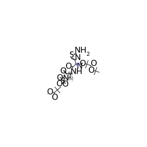 COC(=O)C(C)(C)COS(=O)(=O)N1C(=O)[C@@H](NC(=O)/C(=N/OC(C)(C)C(=O)OC(C)(C)C)c2csc(N)n2)[C@@H]1C